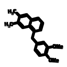 COc1ccc(Cc2cccc3cc(C)c(C)cc23)cc1OC